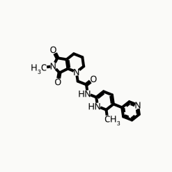 CC1NC(NC(=O)CN2CCCC3=C2C(=O)N(C)C3=O)=CC=C1c1cccnc1